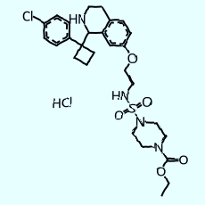 CCOC(=O)N1CCN(S(=O)(=O)NCCOc2ccc3c(c2)C(C2(c4ccc(Cl)cc4)CCC2)NCC3)CC1.Cl